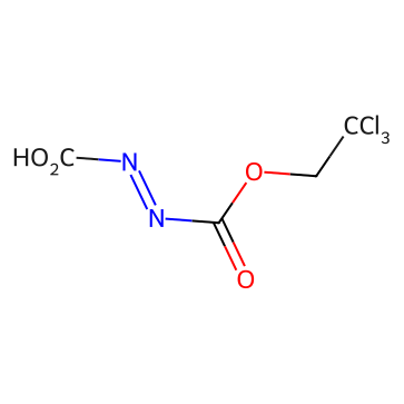 O=C(O)N=NC(=O)OCC(Cl)(Cl)Cl